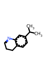 CC(C)c1ccc2c(c1)N=CCC2